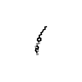 CCCCCCCCc1ccc(N=Nc2cc3sc(Br)cc3s2)cc1